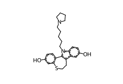 Oc1ccc2c(c1)SCCc1c-2n(CCCCCN2CCCC2)c2ccc(O)cc12